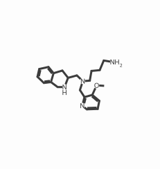 COc1cccnc1CN(CCCCN)CC1Cc2ccccc2CN1